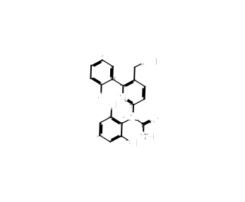 Cc1ccccc1-c1nc(N(C(N)=O)c2c(Cl)cccc2Cl)ccc1CO